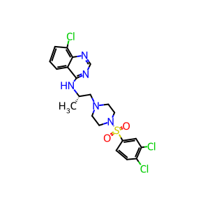 C[C@@H](CN1CCN(S(=O)(=O)c2ccc(Cl)c(Cl)c2)CC1)Nc1ncnc2c(Cl)cccc12